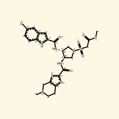 COC(=O)CS(=O)(=O)N1C[C@@H](NC(=O)c2cc3cc(Cl)ccc3[nH]2)[C@H](NC(=O)c2nc3c(s2)CN(C)CC3)C1